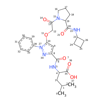 CC(C)CC(NC(=O)c1cc(OCC(=O)N2CCCC2C(=O)NC2CCC2)n(-c2ccccc2)n1)C(=O)O